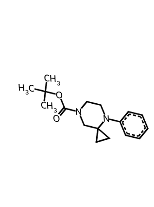 CC(C)(C)OC(=O)N1CCN(c2ccccc2)C2(CC2)C1